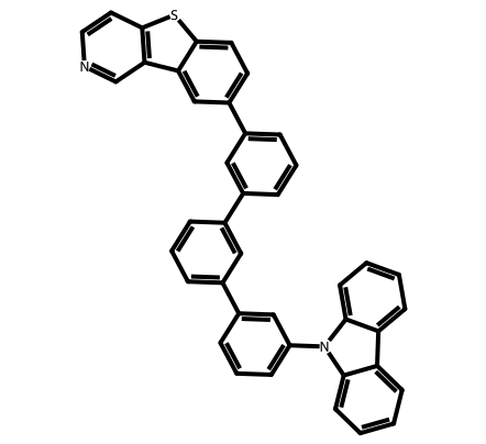 c1cc(-c2cccc(-c3ccc4sc5ccncc5c4c3)c2)cc(-c2cccc(-n3c4ccccc4c4ccccc43)c2)c1